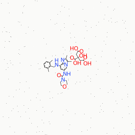 Cc1cccc(C)c1CNc1cc(NC(=O)N2CCOCC2)cn2c(C)c(C)nc12.O=C(O)CC(O)(CC(=O)O)C(=O)O